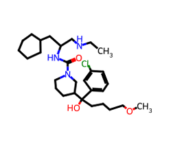 CCNCC(CC1CCCCC1)NC(=O)N1CCCC(C(O)(CCCCOC)c2cccc(Cl)c2)C1